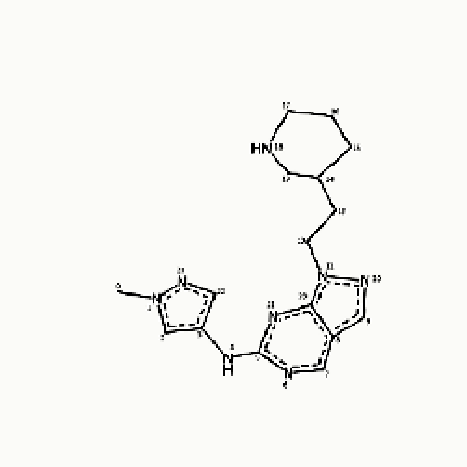 Cn1cc(Nc2ncc3cnn(CCC4CCCNC4)c3n2)cn1